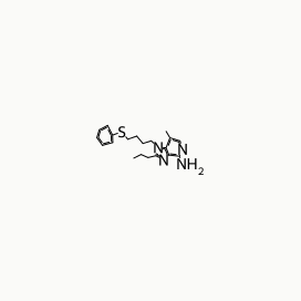 CCCc1nc2c(N)ncc(C)c2n1CCCCSc1ccccc1